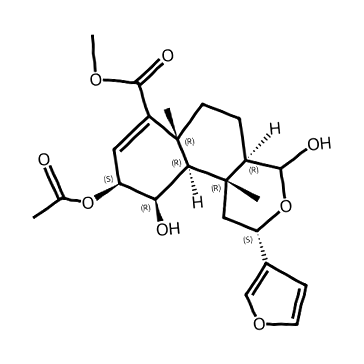 COC(=O)C1=C[C@H](OC(C)=O)[C@H](O)[C@@H]2[C@@]3(C)C[C@@H](c4ccoc4)OC(O)[C@@H]3CC[C@@]12C